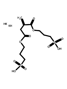 C=C(CC(=O)OCCCS(=O)(=O)O)C(=O)OCCCS(=O)(=O)O.[KH].[KH]